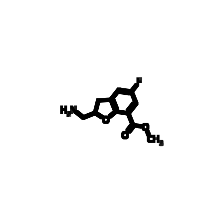 COC(=O)c1cc(F)cc2c1OC(CN)C2